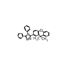 CC1(C)c2ccccc2Oc2ccc(-c3nnc(-c4ccccc4)n3-c3ccccc3)cc21